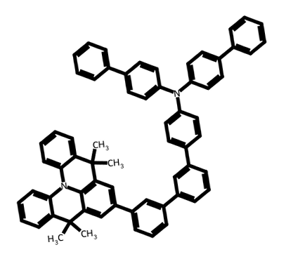 CC1(C)c2ccccc2N2c3ccccc3C(C)(C)c3cc(-c4cccc(-c5cccc(-c6ccc(N(c7ccc(-c8ccccc8)cc7)c7ccc(-c8ccccc8)cc7)cc6)c5)c4)cc1c32